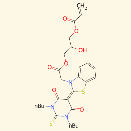 C=CC(=O)OCC(O)COC(=O)CN1C(=C2C(=O)N(CCCC)C(=S)N(CCCC)C2=O)Sc2ccccc21